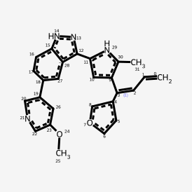 C=C/C=C(/c1ccoc1)c1cc(-c2n[nH]c3ccc(-c4cncc(OC)c4)cc23)[nH]c1C